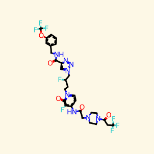 O=C(CN1CCN(C(=O)CC(F)(F)F)CC1)Nc1ccn(CCC(F)Cn2cc(C(=O)NCc3cccc(OC(F)(F)F)c3)nn2)c(=O)c1F